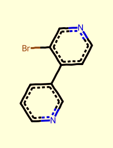 Brc1cnccc1-c1cccnc1